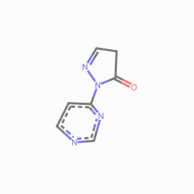 O=C1CC=NN1c1ccncn1